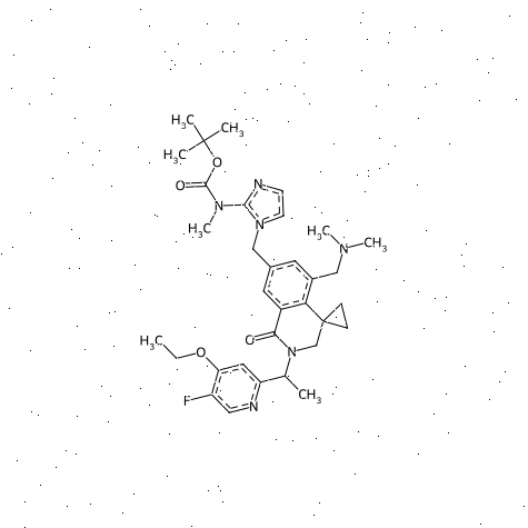 CCOc1cc(C(C)N2CC3(CC3)c3c(CN(C)C)cc(Cn4ccnc4N(C)C(=O)OC(C)(C)C)cc3C2=O)ncc1F